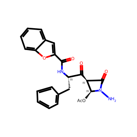 CC(=O)O[C@H]1[C@@H](C(=O)[C@H](Cc2ccccc2)NC(=O)c2cc3ccccc3o2)C(=O)N1N